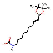 CN(CCCCCCCC=CB1OC(C)(C)C(C)(C)O1)C(=O)O